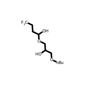 CCCCOCC(O)COC(O)CCC(F)(F)F